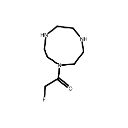 O=C(CF)N1CCNCCNCC1